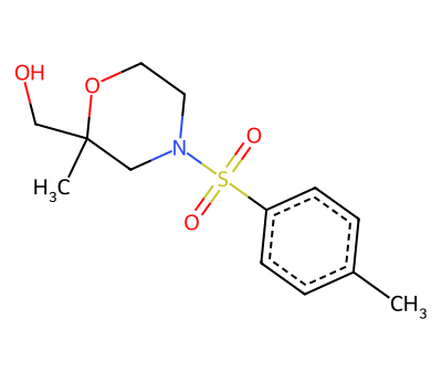 Cc1ccc(S(=O)(=O)N2CCOC(C)(CO)C2)cc1